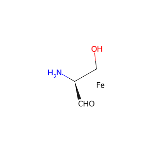 N[C@H](C=O)CO.[Fe]